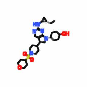 CC[C@H]1C[C@@H]1Nc1ncc2c(C3CCN(S(=O)(=O)C4CCOCC4)CC3)cn([C@H]3CC[C@H](O)CC3)c2n1